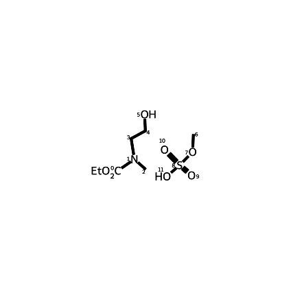 CCOC(=O)N(C)CCO.COS(=O)(=O)O